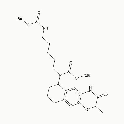 CC1Oc2cc3c(cc2NC1=S)C(N(CCCCCNC(=O)OC(C)(C)C)C(=O)OC(C)(C)C)CCC3